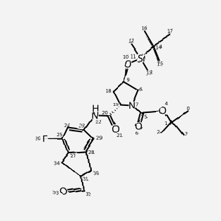 CC(C)(C)OC(=O)N1C[C@H](O[Si](C)(C)C(C)(C)C)C[C@H]1C(=O)Nc1cc(F)c2c(c1)CC(C=O)C2